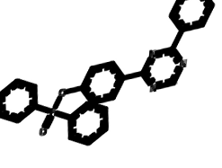 O=P(Oc1ccc(-c2n[c]nc(-c3ccccc3)n2)cc1)(c1ccccc1)c1ccccc1